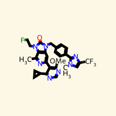 COc1ncnc(C2CC2)c1-c1cc2c(c(C)n1)n(CCF)c(=O)n2Cc1ccc(-c2nc(C(F)(F)F)cn2C)cc1